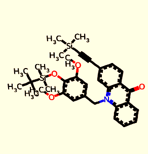 COc1cc(Cn2c3ccccc3c(=O)c3ccc(C#C[Si](C)(C)C)cc32)cc(OC)c1O[Si](C)(C)C(C)(C)C